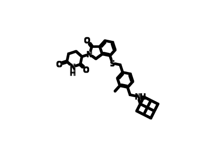 Cc1cc(CSc2cccc3c2CN(C2CCC(=O)NC2=O)C3=O)ccc1CNC12CC3CC4CC(C1)C432